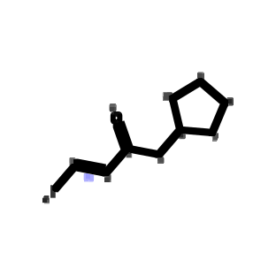 O=C(/C=C/I)CC1CCCC1